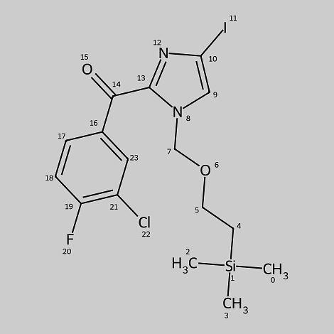 C[Si](C)(C)CCOCn1cc(I)nc1C(=O)c1ccc(F)c(Cl)c1